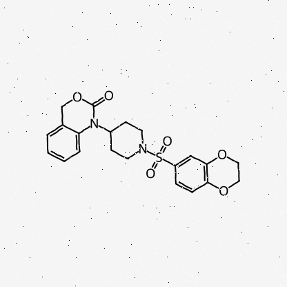 O=C1OCc2ccccc2N1C1CCN(S(=O)(=O)c2ccc3c(c2)OCCO3)CC1